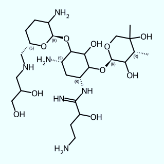 C[C@@H]1C(O)[C@@H](OC2C(O)C(O[C@H]3O[C@H](CNCC(O)CO)CCC3N)[C@@H](N)C[C@H]2NC(=N)C(O)CCN)OCC1(C)O